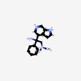 CN(C)CC(N)(c1ccccc1)c1cncc2[nH]ccc12